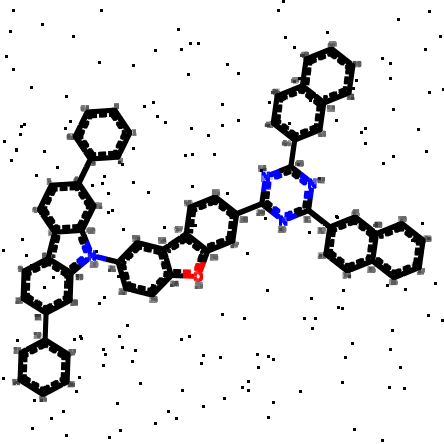 c1ccc(-c2ccc3c4ccc(-c5ccccc5)cc4n(-c4ccc5oc6cc(-c7nc(-c8ccc9ccccc9c8)nc(-c8ccc9ccccc9c8)n7)ccc6c5c4)c3c2)cc1